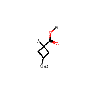 CCOC(=O)C1(C)CC(C=O)C1